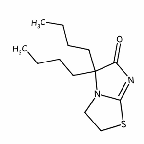 CCCCC1(CCCC)C(=O)N=C2SCCN21